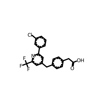 O=C(O)Cc1ccc(Cc2cc(-c3cccc(Cl)c3)nc(C(F)(F)F)c2)cc1